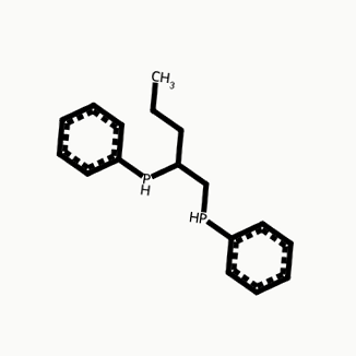 CCCC(CPc1ccccc1)Pc1ccccc1